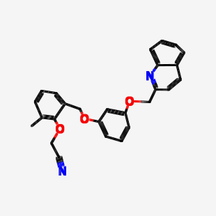 Cc1cccc(COc2cccc(OCc3ccc4ccccc4n3)c2)c1OCC#N